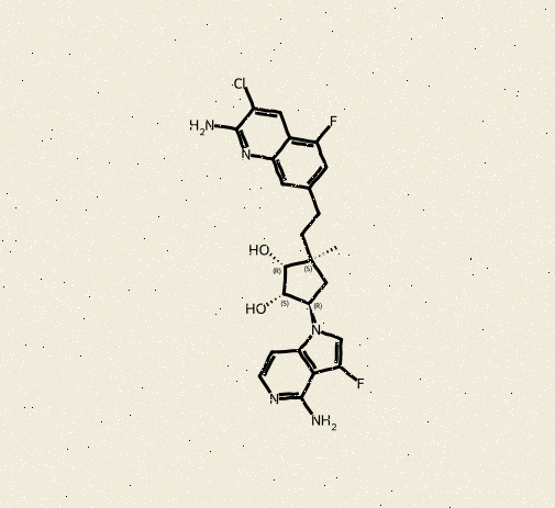 C[C@]1(CCc2cc(F)c3cc(Cl)c(N)nc3c2)C[C@@H](n2cc(F)c3c(N)nccc32)[C@H](O)[C@@H]1O